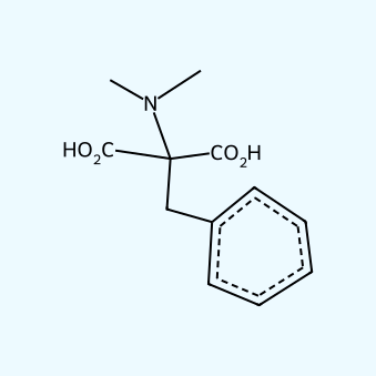 CN(C)C(Cc1ccccc1)(C(=O)O)C(=O)O